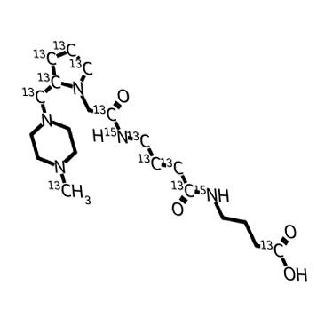 [13CH3]N1CCN([13CH2][13CH]2[13CH2][13CH2][13CH2]N2C[13C](=O)[15NH][13CH2][13CH2][13CH2][13C](=O)[15NH]CCC[13C](=O)O)CC1